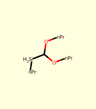 CC[CH][SiH2]C(OCCC)OCCC